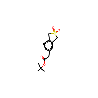 CC(C)(C)OC(=O)Cc1ccc2c(c1)CS(=O)(=O)C2